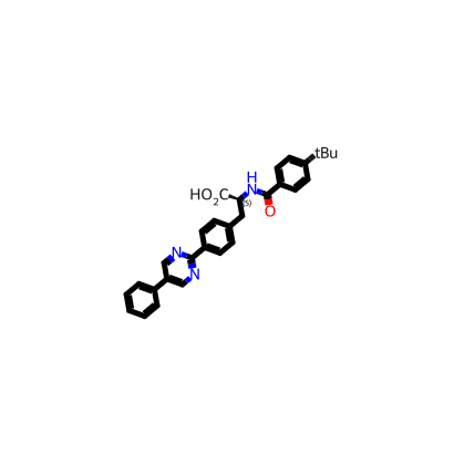 CC(C)(C)c1ccc(C(=O)N[C@@H](Cc2ccc(-c3ncc(-c4ccccc4)cn3)cc2)C(=O)O)cc1